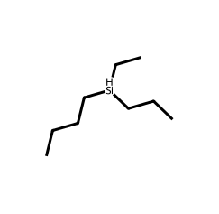 CCCC[SiH](CC)CCC